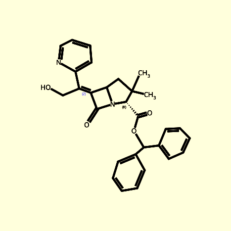 CC1(C)CC2/C(=C(/CO)c3ccccn3)C(=O)N2[C@H]1C(=O)OC(c1ccccc1)c1ccccc1